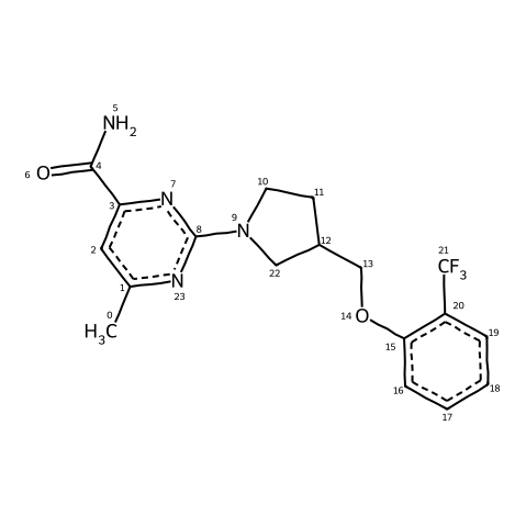 Cc1cc(C(N)=O)nc(N2CCC(COc3ccccc3C(F)(F)F)C2)n1